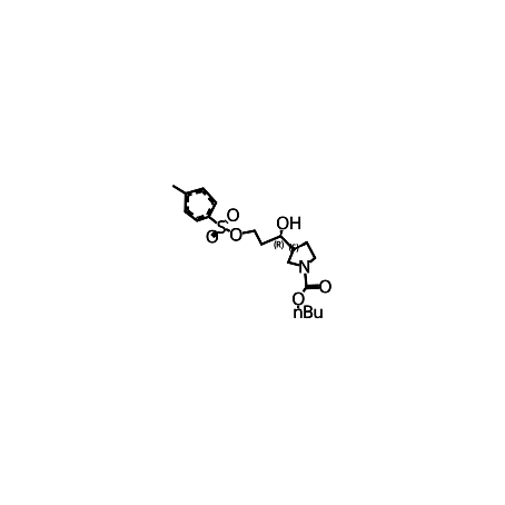 CCCCOC(=O)N1CC[C@H]([C@H](O)CCOS(=O)(=O)c2ccc(C)cc2)C1